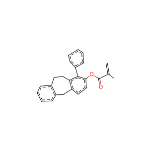 C=C(C)C(=O)Oc1ccc2c(c1-c1ccccc1)CCc1ccccc1C2